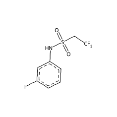 O=S(=O)(CC(F)(F)F)Nc1cccc(I)c1